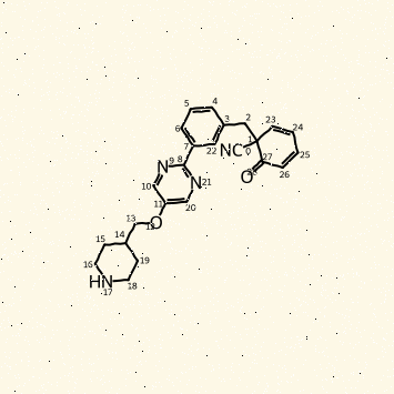 N#CC1(Cc2cccc(-c3ncc(OCC4CCNCC4)cn3)c2)C=CC=CC1=O